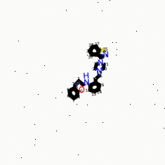 O=C(/C=C\c1ccccc1)Nc1ccccc1CCN1CCN(c2nsc3ccccc23)CC1